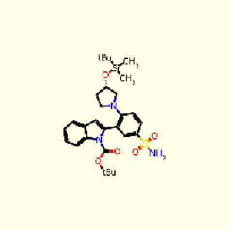 CC(C)(C)OC(=O)n1c(-c2cc(S(N)(=O)=O)ccc2N2CC[C@H](O[Si](C)(C)C(C)(C)C)C2)cc2ccccc21